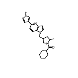 CC1CC(Cn2ccc3nc(-c4cn[nH]c4)ccc32)CN1C(=O)C1CCCCC1